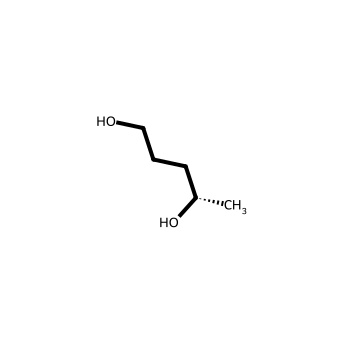 C[C@H](O)CCCO